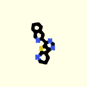 c1ccc2cc(-c3ncnc4c3sc3ncccc34)ncc2c1